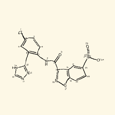 O=C(Nc1ccc(Cl)cc1-c1nnn[nH]1)c1noc2ccc([N+](=O)[O-])cc12